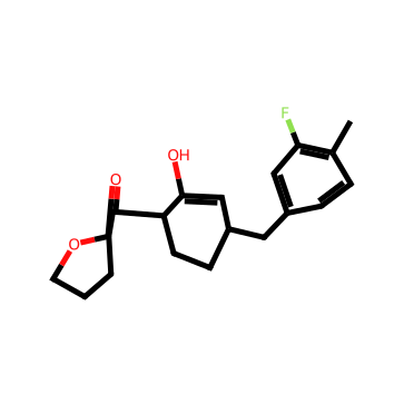 Cc1ccc(CC2C=C(O)C(C(=O)C3CCCO3)CC2)cc1F